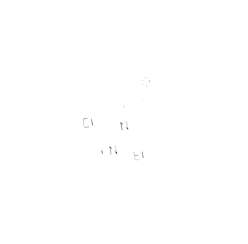 CCC(C#N)N1CC(=O)CCC1CC